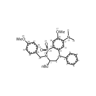 CCCCC1CN(c2ccccc2)c2cc(N(C)C)c(OC)cc2S(=O)(=O)N1Cc1ccc(OC)cc1